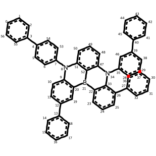 c1ccc(-c2ccc(N3c4ccc(-c5ccccc5)cc4B4c5cccc(-c6ccccc6)c5N(c5cccc(-c6ccccc6)c5)c5cccc3c54)cc2)cc1